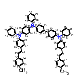 Cc1ccc(C=Cc2ccc(N(c3ccccc3)c3ccc(-c4ccc(N(c5ccccc5)c5ccc(N(c6ccccc6)c6ccc(C=Cc7ccc(C)cc7)cc6)cc5)cc4)cc3)cc2)cc1